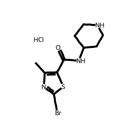 Cc1nc(Br)sc1C(=O)NC1CCNCC1.Cl